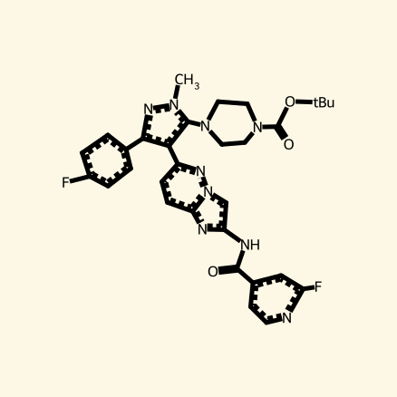 Cn1nc(-c2ccc(F)cc2)c(-c2ccc3nc(NC(=O)c4ccnc(F)c4)cn3n2)c1N1CCN(C(=O)OC(C)(C)C)CC1